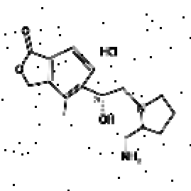 Cc1c([C@@H](O)CN2CCCC2CN)ccc2c1COC2=O.Cl